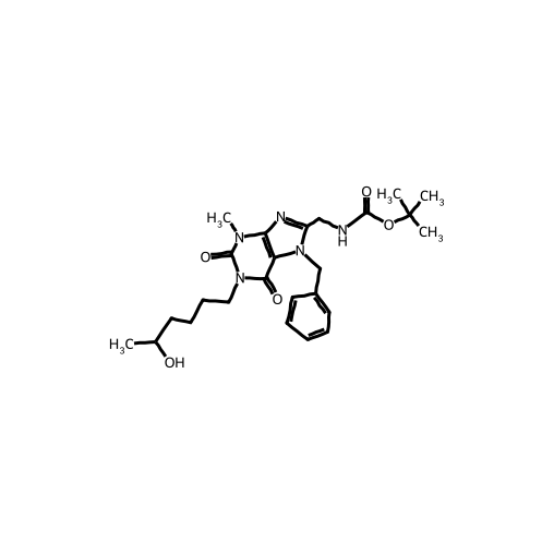 CC(O)CCCCn1c(=O)c2c(nc(CNC(=O)OC(C)(C)C)n2Cc2ccccc2)n(C)c1=O